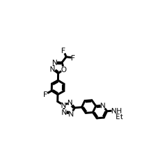 CCNc1ccc2cc(-c3nnn(Cc4ccc(-c5nnc(C(F)F)o5)cc4F)n3)ccc2n1